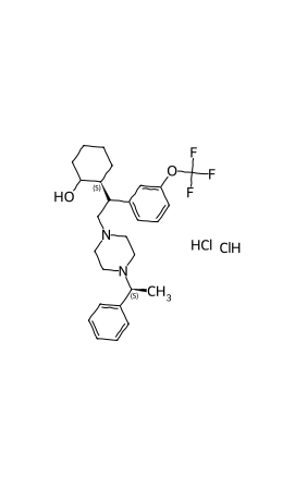 C[C@@H](c1ccccc1)N1CCN(CC(c2cccc(OC(F)(F)F)c2)[C@@H]2CCCCC2O)CC1.Cl.Cl